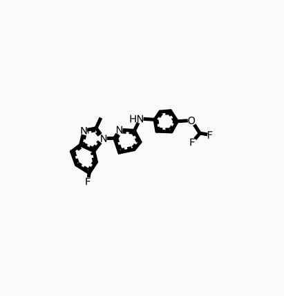 Cc1nc2ccc(F)cc2n1-c1cccc(Nc2ccc(OC(F)F)cc2)n1